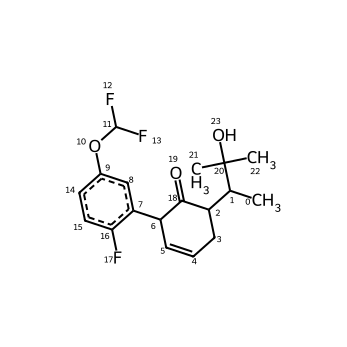 CC(C1CC=CC(c2cc(OC(F)F)ccc2F)C1=O)C(C)(C)O